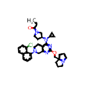 C=CC(=O)N1CCC(N(c2nc(OCC34CCCN3CCC4)nc3c2CCN(c2cccc4cccc(Cl)c24)C3)C2CC2)C1